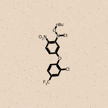 CCCCON(CC)c1cc(Oc2ccc(C(F)(F)F)cc2Cl)ccc1[N+](=O)[O-]